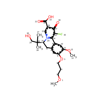 COCCCOc1cc2c(cc1OC)-c1c(F)c(=O)c(C(=O)O)cn1[C@H](C(C)(C)CO)C2